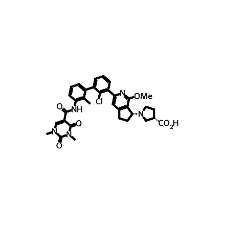 COc1nc(-c2cccc(-c3cccc(NC(=O)c4cn(C)c(=O)n(C)c4=O)c3C)c2Cl)cc2c1[C@H](N1CC[C@H](C(=O)O)C1)CC2